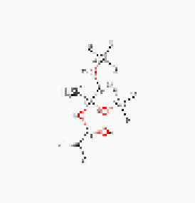 C=C(C)C(=O)OC([SiH3])(O[Si](C)(C)C)C(C)O[Si](C)(C)C